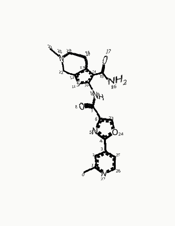 Cc1cc(-c2nc(C(=O)Nc3sc4c(c3C(N)=O)CCN(C)C4)co2)ccn1